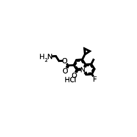 Cc1cc(F)cn2c(=O)c(C(=O)OCCN)cc(C3CC3)c12.Cl